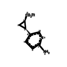 CCOC(=O)[C@@H]1C[C@H]1c1ccc(N)nc1